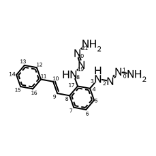 NN=NNc1cccc(C=Cc2ccccc2)c1NN=NN